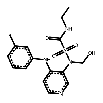 CCNC(=O)S(=O)(=O)N(CO)c1cnccc1Nc1cccc(C)c1